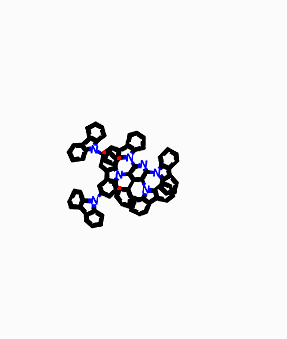 Cc1cccc(C)c1-c1c(-n2c3ccccc3c3ccccc32)c(-n2c3ccccc3c3ccccc32)nc(-n2c3ccccc3c3ccccc32)c1-n1c2ccc(-n3c4ccccc4c4ccccc43)cc2c2cc(-n3c4ccccc4c4ccccc43)ccc21